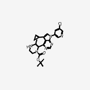 CC1NCCN(C(=O)OC(C)(C)C)C1c1ncnc2c1c(C1CC1)cn2-c1cncc(Cl)c1